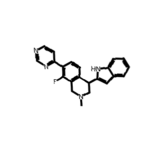 CN1Cc2c(ccc(-c3ccncn3)c2F)C(c2cc3ccccc3[nH]2)C1